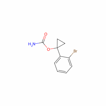 NC(=O)OC1(c2ccccc2Br)CC1